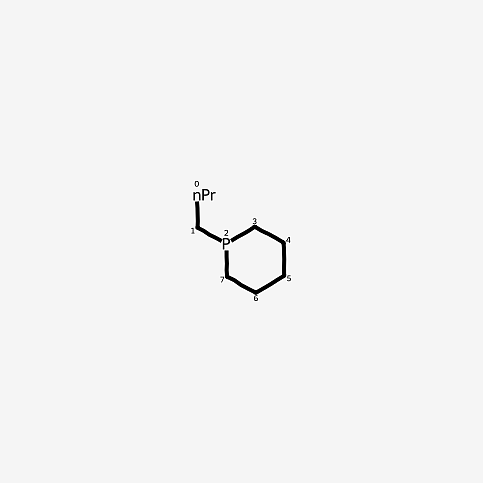 CCCCP1CCCCC1